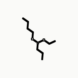 CCCCON(CCC)OCC